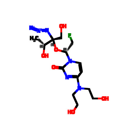 C[C@@H](O)[C@](CO)(N=[N+]=[N-])O[C@H](CF)n1ccc(N(CCO)CCO)nc1=O